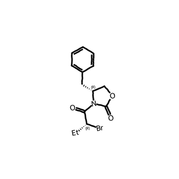 CC[C@@H](Br)C(=O)N1C(=O)OC[C@H]1Cc1ccccc1